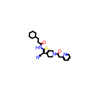 N#Cc1c(NC(=O)CCC2CCCCC2)sc2c1CCN(C(=O)Cc1ccccn1)C2